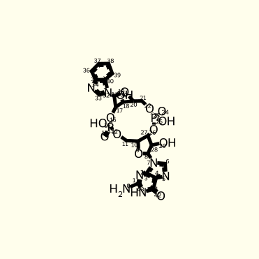 Nc1nc2c(ncn2C2OC3COP(=O)(O)OC4C(O)C(COP(=O)(O)OC3C2O)OC4n2cnc3ccccc32)c(=O)[nH]1